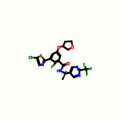 C[C@@H](NC(=O)c1cc(OC2CCOC2)cc(-c2ncc(Cl)s2)c1F)c1cnc(C(F)(F)F)nc1